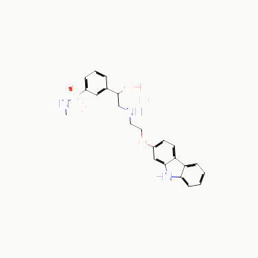 CNS(=O)(=O)c1cccc(C(O)CNCCOc2ccc3c(c2)[nH]c2ccccc23)c1.Cl